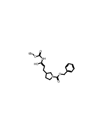 CC(C)(C)OC(=O)NC(O)=CCC1CCN(C(=O)OCc2ccccc2)C1